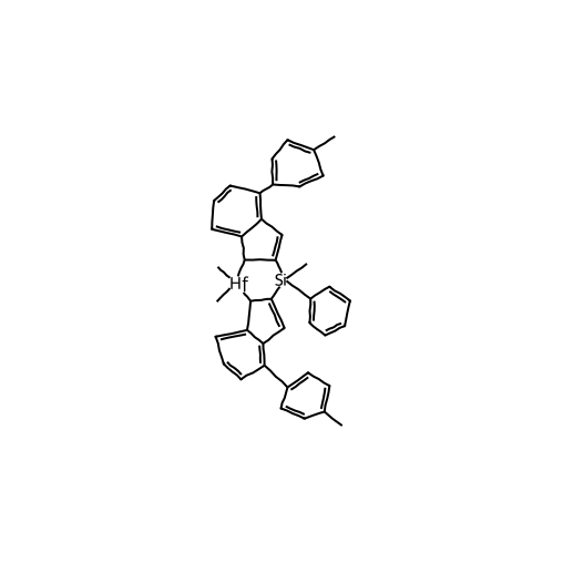 Cc1ccc(-c2cccc3c2C=C2[CH]3[Hf]([CH3])([CH3])[CH]3C(=Cc4c(-c5ccc(C)cc5)cccc43)[Si]2(C)c2ccccc2)cc1